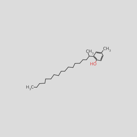 CCCCCCCCCCCCCCCCC(C)c1cc(C)ccc1O